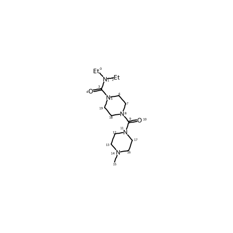 CCN(CC)C(=O)N1CCN(C(=O)N2CCN(C)CC2)CC1